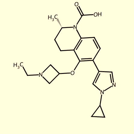 CCN1CC(Oc2c(-c3cnn(C4CC4)c3)ccc3c2CC[C@H](C)N3C(=O)O)C1